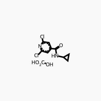 O=C(NC1CC1)c1cc(Cl)nc(Cl)c1.O=C(O)O